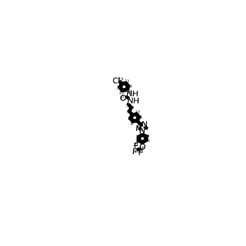 O=C(NCCCc1ccc(-c2ncn(-c3ccc(OC(F)(F)F)cc3)n2)cc1)Nc1ccc(Cl)cc1